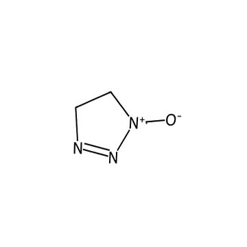 [O-][N+]1CCN=N1